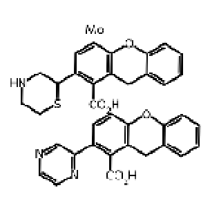 O=C(O)c1c(-c2cnccn2)ccc2c1Cc1ccccc1O2.O=C(O)c1c(C2CNCCS2)ccc2c1Cc1ccccc1O2.[Mo]